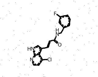 O=C(/C=C/c1c[nH]c2nccc(Cl)c12)NCc1cccc(F)c1